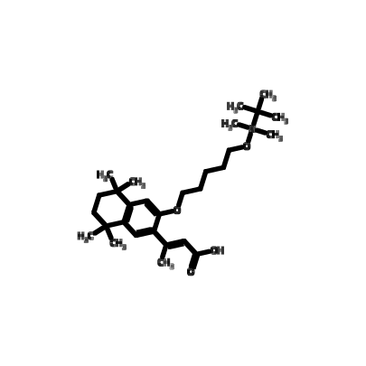 CC(=CC(=O)O)c1cc2c(cc1OCCCCCO[Si](C)(C)C(C)(C)C)C(C)(C)CCC2(C)C